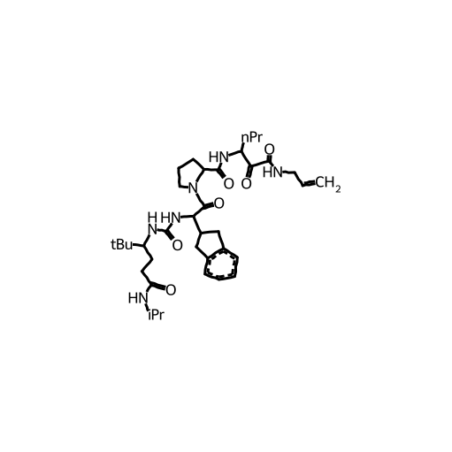 C=CCNC(=O)C(=O)C(CCC)NC(=O)C1CCCN1C(=O)C(NC(=O)NC(CCC(=O)NC(C)C)C(C)(C)C)C1Cc2ccccc2C1